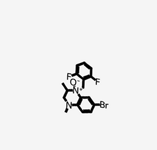 CC1CN(C)c2ccc(Br)cc2[N+]1([O-])Cc1c(F)cccc1F